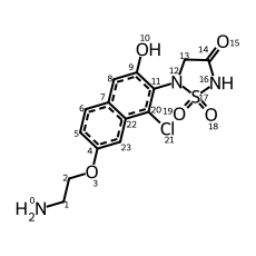 NCCOc1ccc2cc(O)c(N3CC(=O)NS3(=O)=O)c(Cl)c2c1